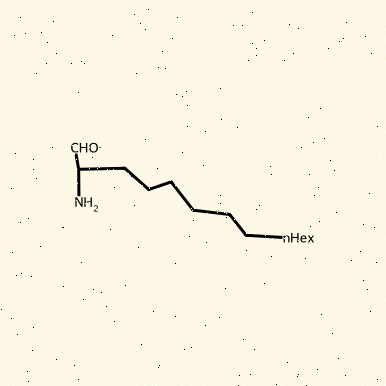 CCCCCCCCCCCCC(N)[C]=O